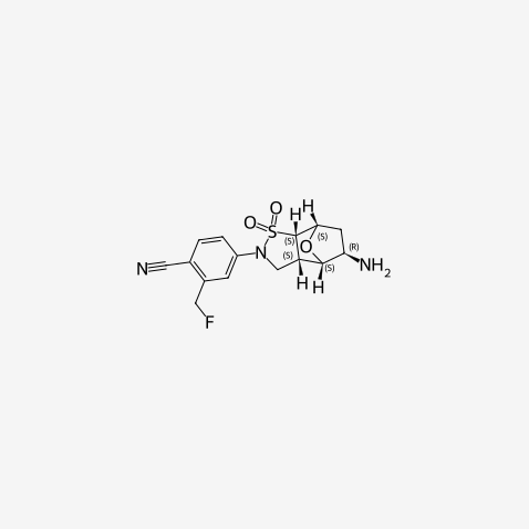 N#Cc1ccc(N2C[C@H]3[C@@H]4O[C@@H](C[C@H]4N)[C@H]3S2(=O)=O)cc1CF